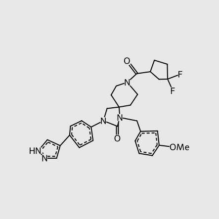 COc1cccc(CN2C(=O)N(c3ccc(-c4cn[nH]c4)cc3)CC23CCN(C(=O)C2CCC(F)(F)C2)CC3)c1